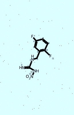 N=C(NCc1cc(F)ccc1F)N[N+](=O)[O-]